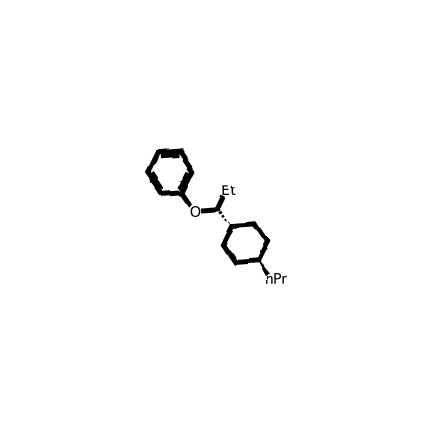 CCC[C@H]1CC[C@H](C(CC)Oc2ccccc2)CC1